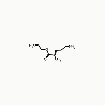 C=CCOC(=O)C(C)=CCCN